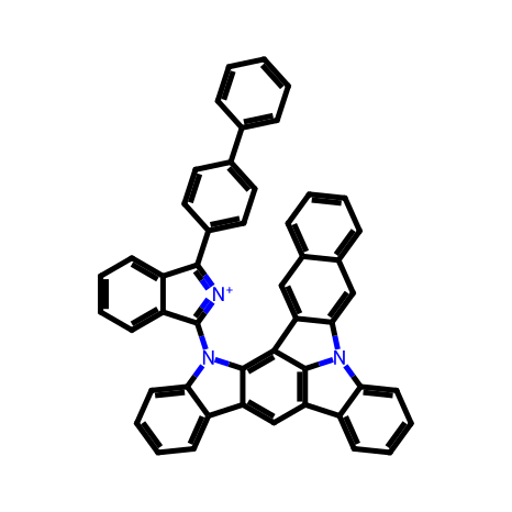 c1ccc(-c2ccc(C3=[N+]=C(n4c5ccccc5c5cc6c7ccccc7n7c8cc9ccccc9cc8c(c54)c67)c4ccccc43)cc2)cc1